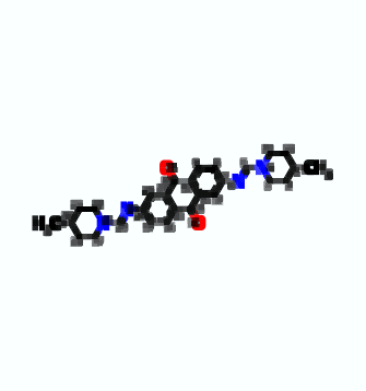 CC1CCN(/C=N/c2ccc3c(c2)C(=O)c2ccc(/N=C/N4CCC(C)CC4)cc2C3=O)CC1